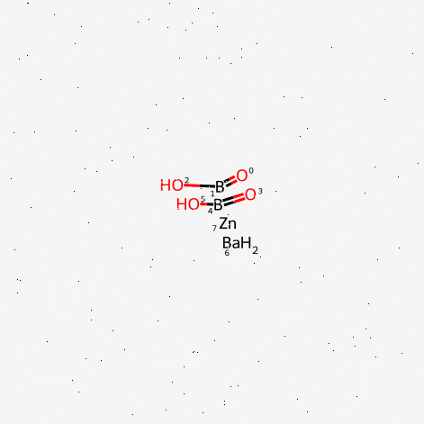 O=BO.O=BO.[BaH2].[Zn]